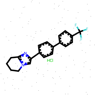 Cl.FC(F)(F)c1ccc(-c2ccc(-c3cn4c(n3)CCCC4)cc2)cc1